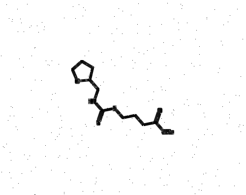 COC(=O)CCCSC(=S)NCC1CCCO1